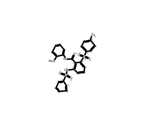 COc1ccccc1NC(=O)c1c(NS(=O)(=O)c2ccccc2)cccc1S(=O)(=O)c1ccc(C)cc1